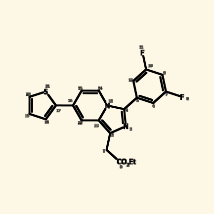 CCOC(=O)Cc1nc(-c2cc(F)cc(F)c2)n2ccc(-c3cccs3)cc12